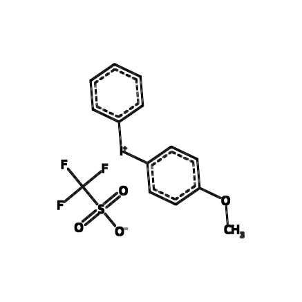 COc1ccc([I+]c2ccccc2)cc1.O=S(=O)([O-])C(F)(F)F